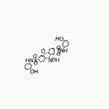 O=C1c2cc(S(=O)(=O)Nc3cccc(O)c3)ccc2/C(=N/O)c2cc(S(=O)(=O)Nc3cccc(O)c3)ccc21